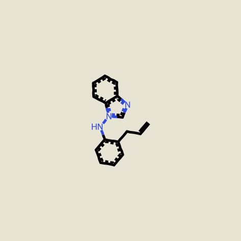 C=CCc1ccccc1Nn1cnc2ccccc21